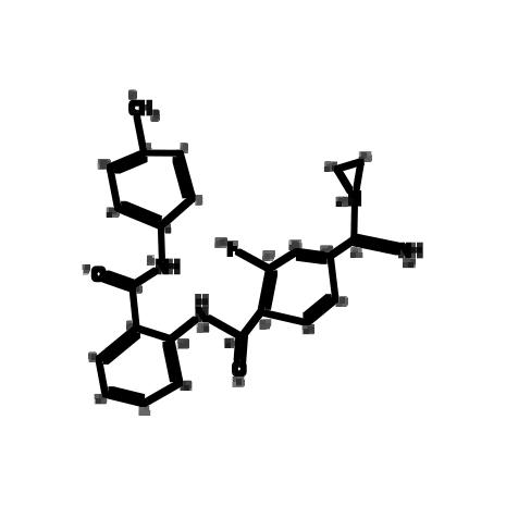 Cc1ccc(NC(=O)c2ccccc2NC(=O)c2ccc(C(=N)N3CC3)cc2F)cc1